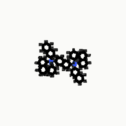 c1ccc([N+](c2ccc3ccccc3c2)(c2ccc3cc([N+](c4ccccc4)(c4ccc5ccccc5c4)c4cccc5ccccc45)ccc3c2)c2cccc3ccccc23)cc1